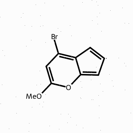 COc1cc(Br)c2c[c]cc-2o1